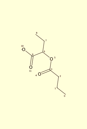 CCCC(=O)OC(CC)C([O])=O